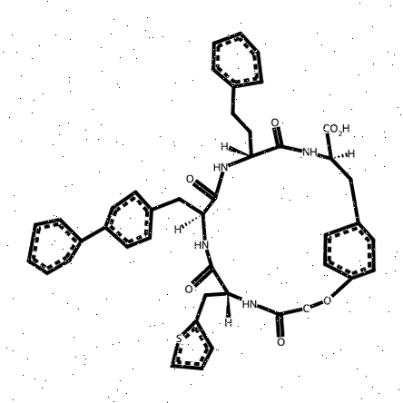 O=C1COc2ccc(cc2)C[C@H](C(=O)O)NC(=O)[C@@H](CCc2ccccc2)NC(=O)[C@H](Cc2ccc(-c3ccccc3)cc2)NC(=O)[C@@H](Cc2cccs2)N1